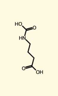 O=C(O)CCCNC(=O)O